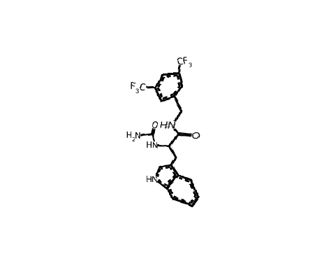 NC(=O)NC(Cc1c[nH]c2ccccc12)C(=O)NCc1cc(C(F)(F)F)cc(C(F)(F)F)c1